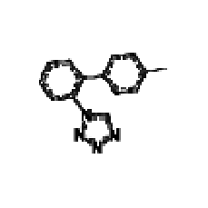 Cc1ccc(-c2ccccc2-n2cnnn2)cc1